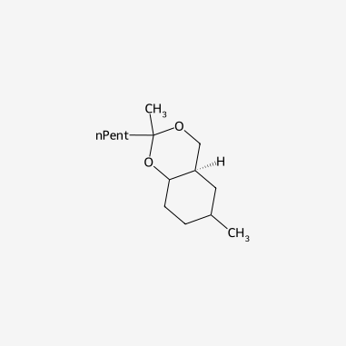 CCCCCC1(C)OC[C@H]2CC(C)CCC2O1